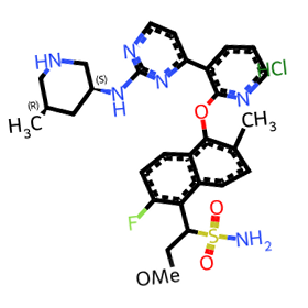 COCC(c1c(F)ccc2c(Oc3ncccc3-c3ccnc(N[C@@H]4CNC[C@H](C)C4)n3)c(C)ccc12)S(N)(=O)=O.Cl